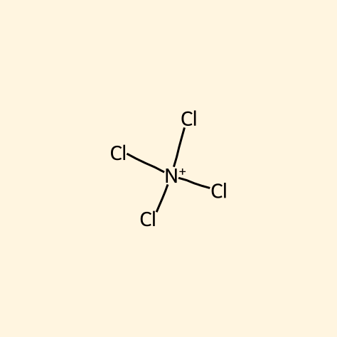 Cl[N+](Cl)(Cl)Cl